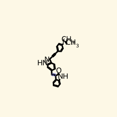 CN(C)c1ccc(C#Cc2n[nH]c3cc(/C=C4\C(=O)Nc5ccccc54)ccc23)cc1